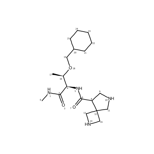 CNC(=O)[C@H](NC(=O)C1CNCC12CNC2)[C@@H](C)OCC1CCCCC1